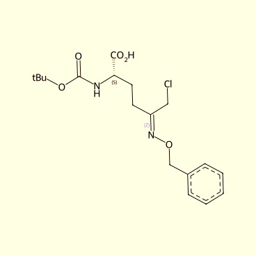 CC(C)(C)OC(=O)N[C@@H](CC/C(CCl)=N/OCc1ccccc1)C(=O)O